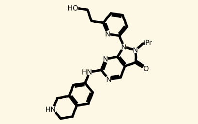 CC(C)n1c(=O)c2cnc(Nc3ccc4c(c3)CNCC4)nc2n1-c1cccc(CCO)n1